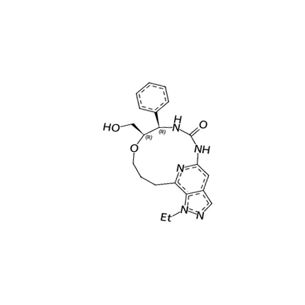 CCn1ncc2cc3nc(c21)CCCO[C@@H](CO)[C@@H](c1ccccc1)NC(=O)N3